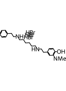 Br.Br.Br.CNc1cc(CCNCCCCCCNCCc2ccccc2)ccc1O